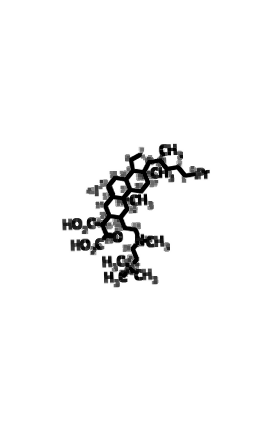 CC(C)CCC[C@@H](C)[C@H]1CCC2C3CC=C4CC([C@H](C(=O)O)C(=O)C(=O)O)C(CCN(C)CC[N+](C)(C)C)C[C@]4(C)C3CC[C@@]21C.[I-]